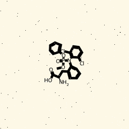 COP(=O)(Oc1ccccc1)N(c1ccccc1C[C@H](N)C(=O)O)c1c(Cl)cccc1Cl